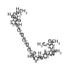 C=C1CCC(N2C(=O)c3cccc(NCCOCCOCCOCCOCCOCCC(=O)Nc4cccc(NSc5ccc(-c6cnc(N)c(-c7ccc(C(C)=O)c(CCC)c7)c6)c(F)c5)c4)c3C2=O)C(=C)N1